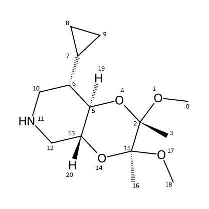 CO[C@@]1(C)O[C@@H]2[C@@H](C3CC3)CNC[C@H]2O[C@]1(C)OC